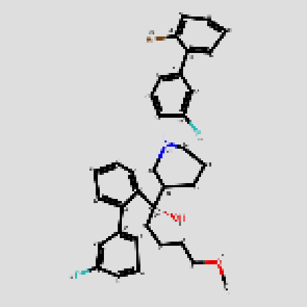 COCCCC[C@@](O)(c1ccccc1-c1cccc(F)c1)C1CCCNC1.Fc1cccc(-c2ccccc2Br)c1